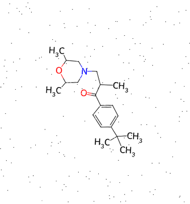 CC1CN(CC(C)C(=O)c2ccc(C(C)(C)C)cc2)CC(C)O1